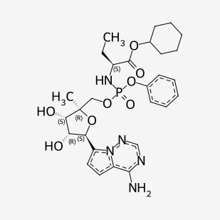 CC[C@H](NP(=O)(OC[C@@]1(C)O[C@@H](c2ccc3c(N)ncnn23)[C@H](O)[C@@H]1O)Oc1ccccc1)C(=O)OC1CCCCC1